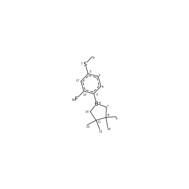 CSc1ccc(B2CC(C)(C)C(C)(C)C2)c(F)c1